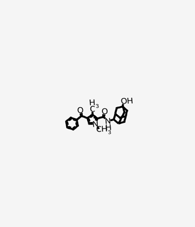 Cc1c(C(=O)c2ccccc2)cn(C)c1C(=O)NC1C2CC3CC1CC(O)(C3)C2